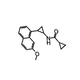 COc1ccc2cccc(C3CC3NC(=O)C3CC3)c2c1